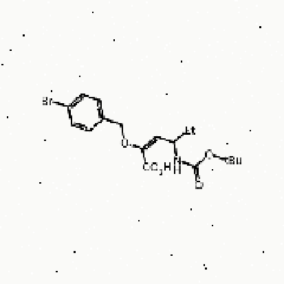 CCC(C=C(OCc1ccc(Br)cc1)C(=O)O)NC(=O)OC(C)(C)C